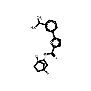 CC(C)c1cccc(-c2ccc(C(=O)N[C@@H]3C[C@@H]4CC[C@H]3C4)o2)c1